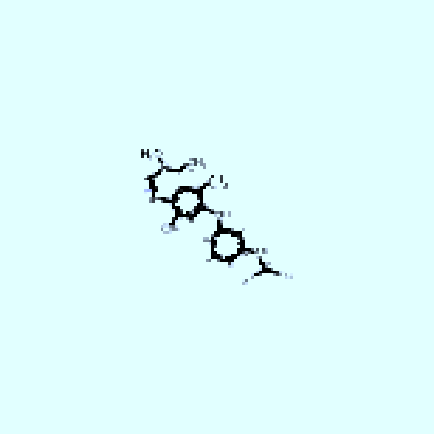 CCN(C)/C=N\c1cc(C)c(Nc2cccc(SC(F)F)c2)cc1Cl